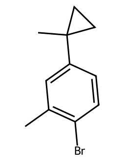 Cc1cc(C2(C)CC2)ccc1Br